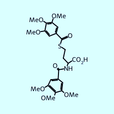 COc1cc(C(=O)NC(CCSC(=O)c2cc(OC)c(OC)c(OC)c2)C(=O)O)cc(OC)c1OC